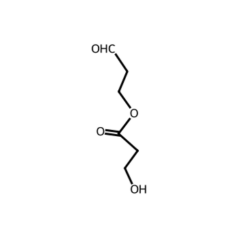 O=CCCOC(=O)CCO